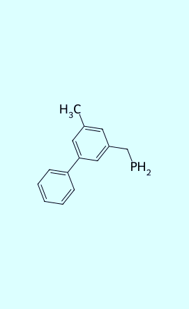 Cc1cc(CP)cc(-c2ccccc2)c1